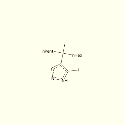 CCCCCCC(C)(CCCCC)c1cn[nH]c1I